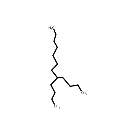 [CH2]CCCCCCC(CCCC)CCCC